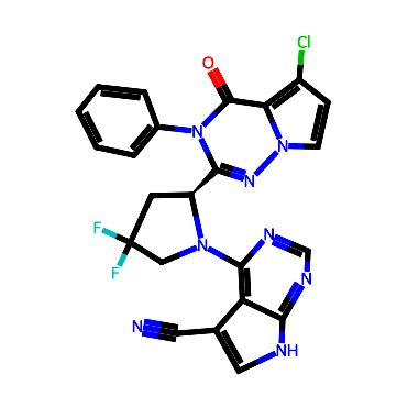 N#Cc1c[nH]c2ncnc(N3CC(F)(F)C[C@H]3c3nn4ccc(Cl)c4c(=O)n3-c3ccccc3)c12